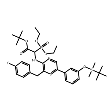 CCOP(=O)(OCC)C(Nc1ncc(-c2cccc(O[Si](C)(C)C(C)(C)C)c2)nc1Cc1ccc(F)cc1)C(=O)OC(C)(C)C